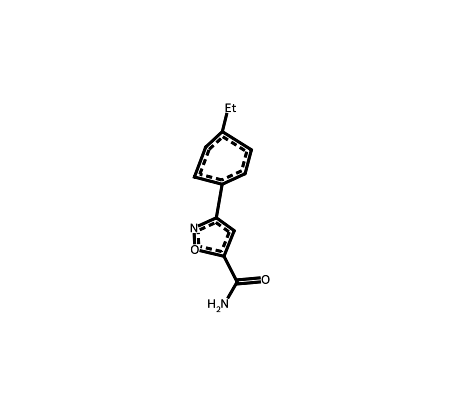 CCc1ccc(-c2cc(C(N)=O)on2)cc1